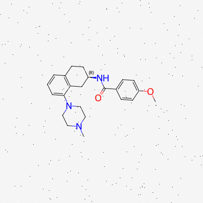 COc1ccc(C(=O)N[C@@H]2CCc3cccc(N4CCN(C)CC4)c3C2)cc1